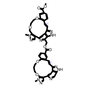 COC(=O)c1ccc2c(c1)OCCOCc1c(cnn1C)-c1cc3c(n[nH]c3c(COC(=O)c3ccc4c(c3)/C=C/c3n[nH]c5cnc(cc35)-c3cnn(C)c3OCCCO4)n1)/C=C/2